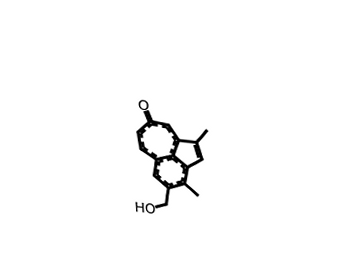 CC1=Cc2c(C)c(CO)cc3ccc(=O)cc1c23